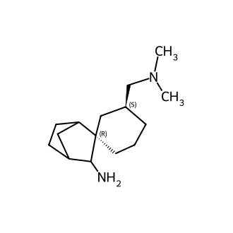 CN(C)C[C@H]1CCC[C@@]2(C1)C1CCC(C1)C2N